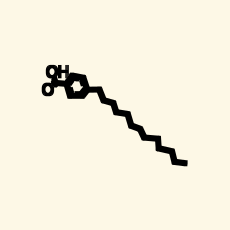 CCCCCCCCCCCCCc1ccc(C(=O)O)cc1